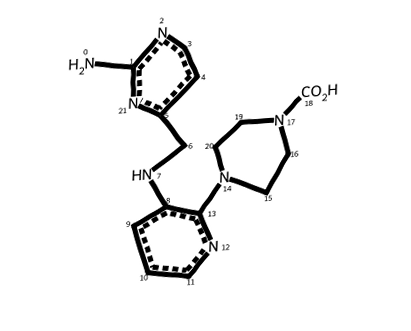 Nc1nccc(CNc2cccnc2N2CCN(C(=O)O)CC2)n1